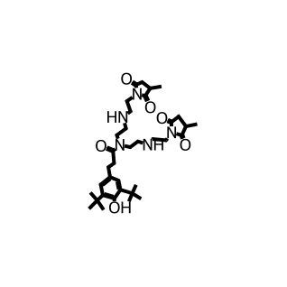 CC1CC(=O)N(CCNCCN(CCNCCN2C(=O)CC(C)C2=O)C(=O)CCc2cc(C(C)(C)C)c(O)c(C(C)(C)C)c2)C1=O